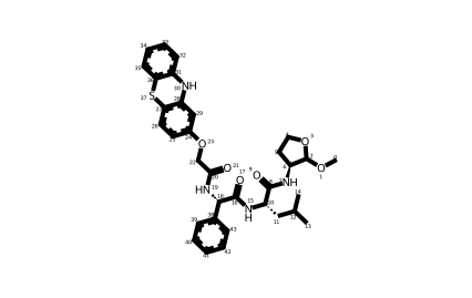 COC1OCC[C@@H]1NC(=O)[C@H](CC(C)C)NC(=O)[C@@H](NC(=O)COc1ccc2c(c1)Nc1ccccc1S2)c1ccccc1